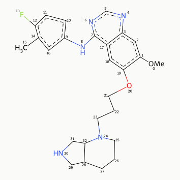 COc1cc2ncnc(Nc3ccc(F)c(C)c3)c2cc1OCCCN1CCCC2CNCC21